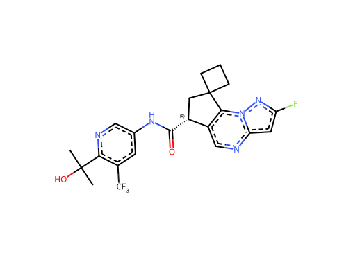 CC(C)(O)c1ncc(NC(=O)[C@@H]2CC3(CCC3)c3c2cnc2cc(F)nn32)cc1C(F)(F)F